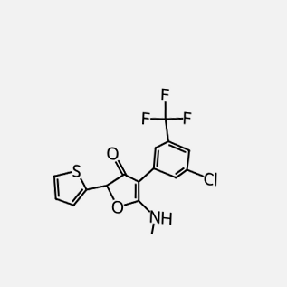 CNC1=C(c2cc(Cl)cc(C(F)(F)F)c2)C(=O)C(c2cccs2)O1